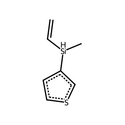 C=C[SiH](C)c1ccsc1